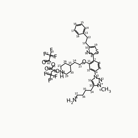 C[n+]1nn(-c2ccc(-c3nc(CCc4ccccc4)cs3)c(OCCC3CCNCC3)c2)cc1CCCCN.O=C(OS(=O)(=O)C(F)(F)F)C(F)(F)F